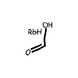 O=CO.[RbH]